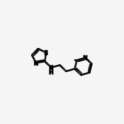 [c]1ncccc1CCNc1nccs1